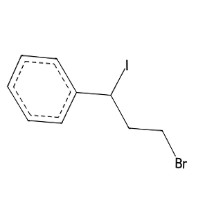 BrCCC(I)c1ccccc1